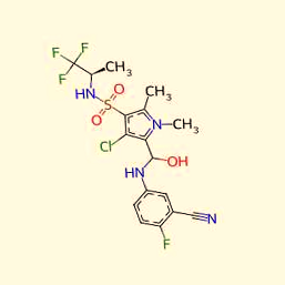 Cc1c(S(=O)(=O)N[C@H](C)C(F)(F)F)c(Cl)c(C(O)Nc2ccc(F)c(C#N)c2)n1C